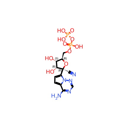 N#C[C@@]1(c2ccc3c(N)ncnn23)O[C@H](COP(=O)(O)OP(=O)(O)O)[C@@H](O)[C@H]1O